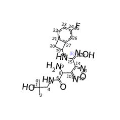 CC(C)(O)CNC(=O)C(N)c1nonc1/C(=N\O)NC1Cc2ccc(F)cc21